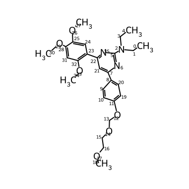 CCN(CC)c1nc(-c2ccc(OCOCCOC)cc2)cc(-c2cc(OC)c(OC)cc2OC)n1